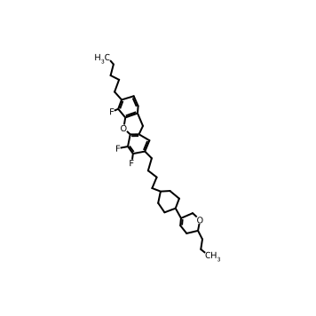 CCCCCc1ccc2c(c1F)Oc1c(cc(CCCCC3CCC(C4=CCC(CCC)OC4)CC3)c(F)c1F)C2